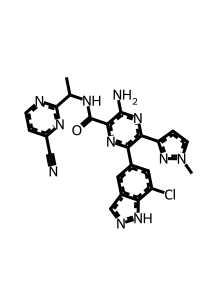 CC(NC(=O)c1nc(-c2cc(Cl)c3[nH]ncc3c2)c(-c2ccn(C)n2)nc1N)c1nccc(C#N)n1